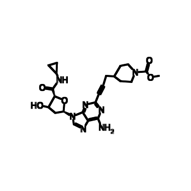 COC(=O)N1CCC(CC#Cc2nc(N)c3ncn([C@H]4CC(O)[C@@H](C(=O)NC5CC5)O4)c3n2)CC1